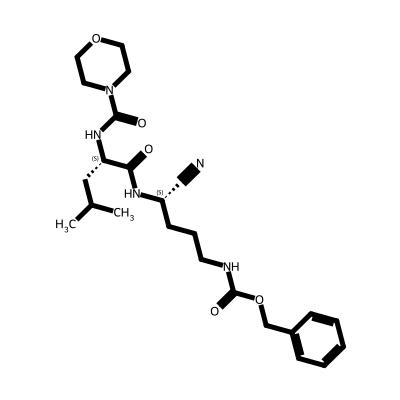 CC(C)C[C@H](NC(=O)N1CCOCC1)C(=O)N[C@H](C#N)CCCNC(=O)OCc1ccccc1